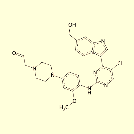 COc1cc(N2CCN(CC=O)CC2)ccc1Nc1ncc(Cl)c(-c2cnc3cc(CO)ccn23)n1